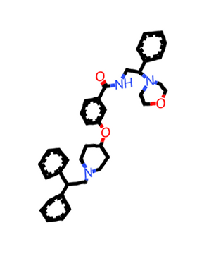 O=C(NCC(c1ccccc1)N1CCOCC1)c1cccc(OC2CCN(CC(c3ccccc3)c3ccccc3)CC2)c1